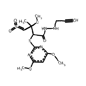 C#CCNNC(=O)C(Sc1nc(OC)cc(OC)n1)C(C)(C=S(=O)=O)OC